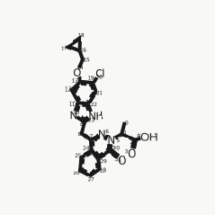 CC(C(=O)O)n1nc(Cc2nc3cc(OCC4CC4)c(Cl)cc3[nH]2)c2ccccc2c1=O